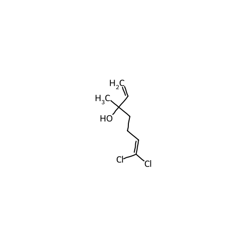 C=CC(C)(O)CCC=C(Cl)Cl